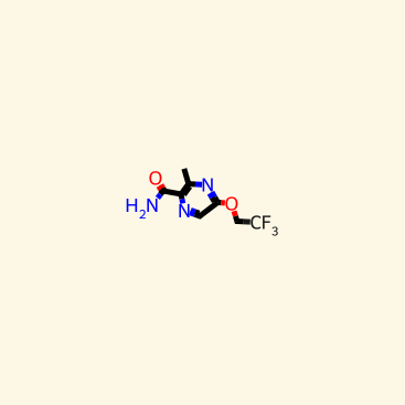 Cc1nc(OCC(F)(F)F)cnc1C(N)=O